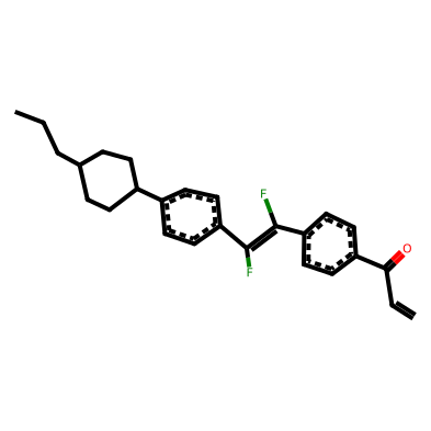 C=CC(=O)c1ccc(/C(F)=C(\F)c2ccc(C3CCC(CCC)CC3)cc2)cc1